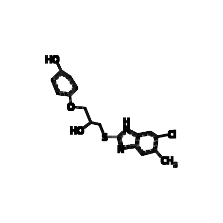 Cc1cc2nc(SCC(O)COc3ccc(O)cc3)[nH]c2cc1Cl